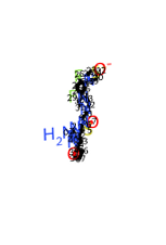 Nc1nc2c(sc(=O)n2CCN2CCN(c3cc(N4CC[S+]([O-])CC4)c(F)cc3F)CC2)c2cc(-c3ccco3)nn12